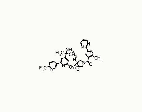 Cc1nc(-c2ncccn2)sc1C(=O)N1C[C@@H]2[C@H](C1)[C@@H]2Oc1cc(C(C)(C)N)cc(-c2ccc(C(F)(F)F)nc2)n1